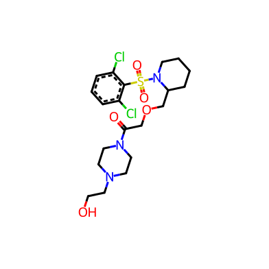 O=C(COCC1CCCCN1S(=O)(=O)c1c(Cl)cccc1Cl)N1CCN(CCO)CC1